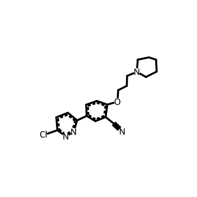 N#Cc1cc(-c2ccc(Cl)nn2)ccc1OCCCN1CCCCC1